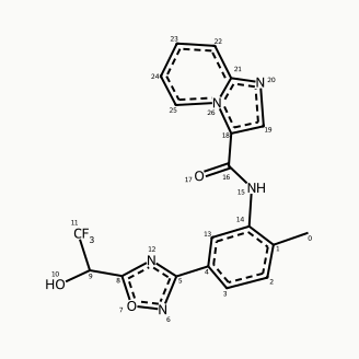 Cc1ccc(-c2noc(C(O)C(F)(F)F)n2)cc1NC(=O)c1cnc2ccccn12